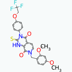 COc1ccc(Cn2ccc3c(=O)n(-c4ccc(OCC(F)(F)F)cc4)c(=S)[nH]c3c2=O)c(OC)c1